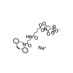 O=C(CCCC(=O)ON1C(=O)CC(S(=O)(=O)[O-])C1=O)NCCC(=O)N1Cc2ccccc2C#Cc2ccccc21.[Na+]